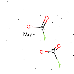 O=[Si]([O-])F.O=[Si]([O-])F.[Mn+2]